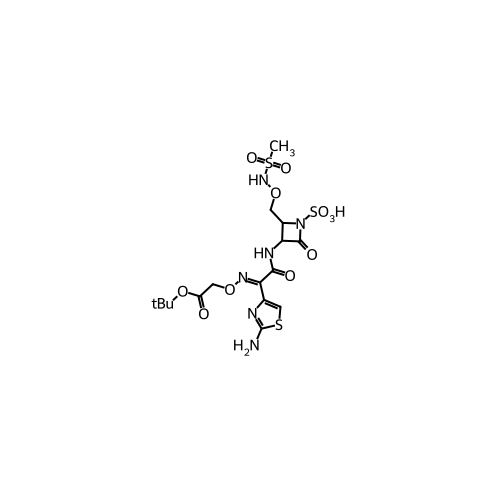 CC(C)(C)OC(=O)CO/N=C(/C(=O)NC1C(=O)N(S(=O)(=O)O)C1CONS(C)(=O)=O)c1csc(N)n1